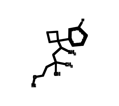 CCOCCC(C)(O)CC(N)C1(c2cccc(F)c2)CCC1